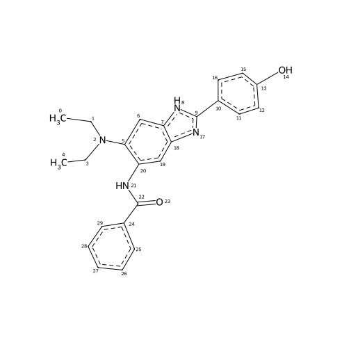 CCN(CC)c1cc2[nH]c(-c3ccc(O)cc3)nc2cc1NC(=O)c1ccccc1